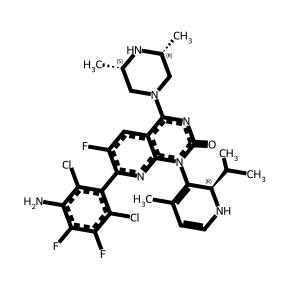 CC1=C(n2c(=O)nc(N3C[C@@H](C)N[C@@H](C)C3)c3cc(F)c(-c4c(Cl)c(N)c(F)c(F)c4Cl)nc32)[C@@H](C(C)C)NC=C1